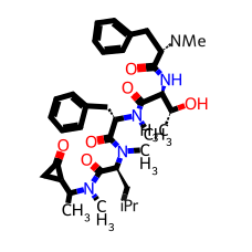 CN[C@@H](Cc1ccccc1)C(=O)N[C@H](C(=O)N(C)[C@@H](Cc1ccccc1)C(=O)N(C)[C@@H](CC(C)C)C(=O)N(C)C(C)C1CC1=O)[C@@H](C)O